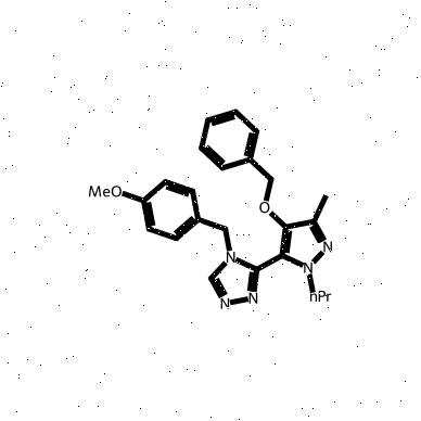 CCCn1nc(C)c(OCc2ccccc2)c1-c1nncn1Cc1ccc(OC)cc1